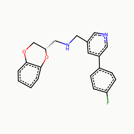 Fc1ccc(-c2cncc(CNC[C@H]3COc4ccccc4O3)c2)cc1